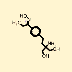 CC/C(=N\O)c1ccc(CCC(N)(CO)CO)cc1